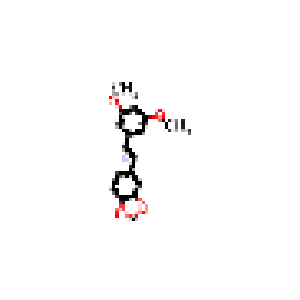 COc1cc(/C=C/c2ccc3c(c2)OCO3)cc(OC)c1